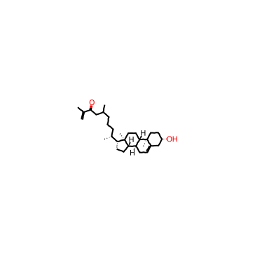 C=C(C)C(=O)CC(C)CCC[C@@H](C)[C@H]1CC[C@H]2[C@@H]3CC=C4C[C@@H](O)CC[C@]4(C)[C@H]3CC[C@]12C